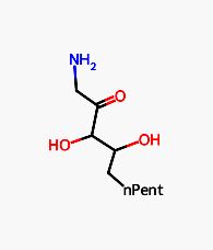 CCCCCCC(O)C(O)C(=O)CN